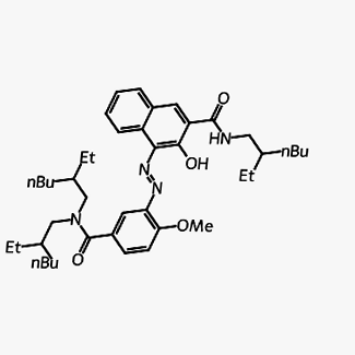 CCCCC(CC)CNC(=O)c1cc2ccccc2c(/N=N/c2cc(C(=O)N(CC(CC)CCCC)CC(CC)CCCC)ccc2OC)c1O